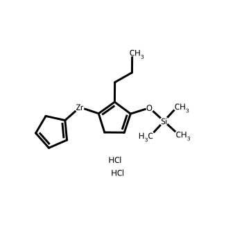 CCCC1=[C]([Zr][C]2=CC=CC2)CC=C1O[Si](C)(C)C.Cl.Cl